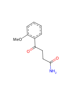 COc1ccccc1C(=O)CCC(N)=O